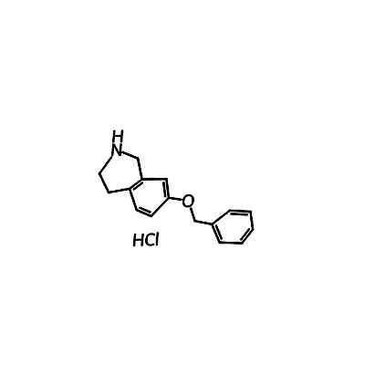 Cl.c1ccc(COc2ccc3c(c2)CNCC3)cc1